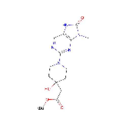 Cn1c(=O)[nH]c2cnc(N3CCC(O)(CC(=O)OC(C)(C)C)CC3)nc21